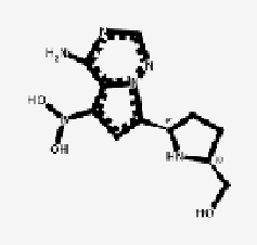 Nc1ncnn2c([C@H]3CC[C@@H](CO)N3)cc(B(O)O)c12